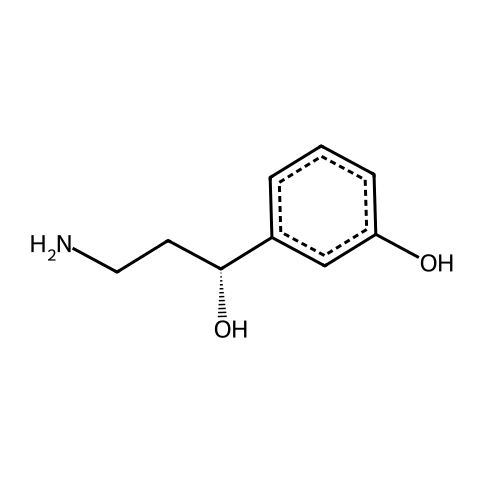 NCC[C@@H](O)c1cccc(O)c1